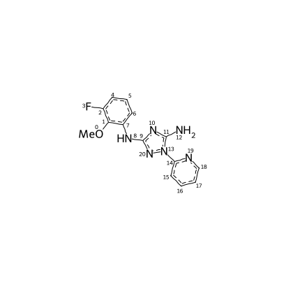 COc1c(F)cccc1Nc1nc(N)n(-c2ccccn2)n1